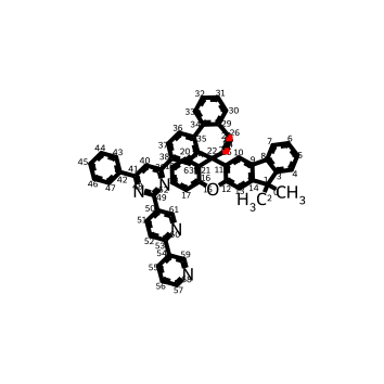 CC1(C)c2ccccc2-c2cc3c(cc21)Oc1ccccc1C31c2ccccc2-c2ccccc2-c2ccc(-c3cc(-c4ccccc4)nc(-c4ccc(-c5cccnc5)nc4)n3)cc21